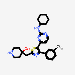 Cc1cccc(-c2nc(CC3(O)CCNCC3)sc2-c2ccnc(NC3CCCCC3)n2)c1